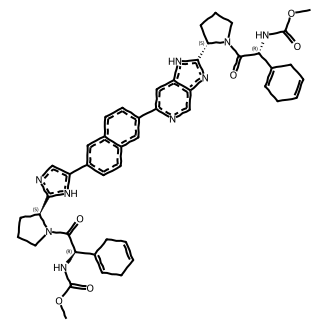 COC(=O)N[C@@H](C(=O)N1CCC[C@H]1c1ncc(-c2ccc3cc(-c4cc5[nH]c([C@@H]6CCCN6C(=O)[C@H](NC(=O)OC)C6=CCC=CC6)nc5cn4)ccc3c2)[nH]1)C1=CCC=CC1